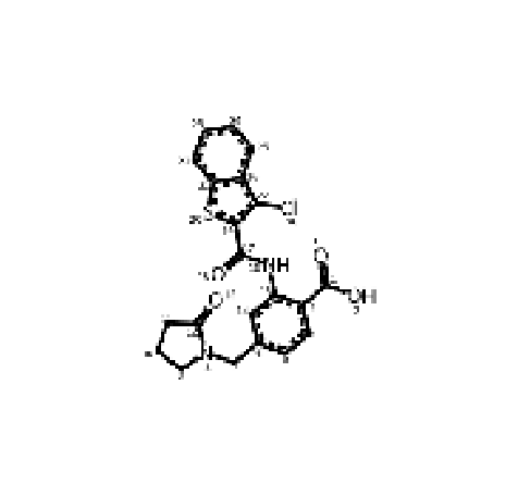 O=C(O)c1ccc(CN2CCCC2=O)cc1NC(=O)c1sc2ccccc2c1Cl